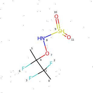 CC(F)(F)C(C)(F)ON[SH](=O)=O